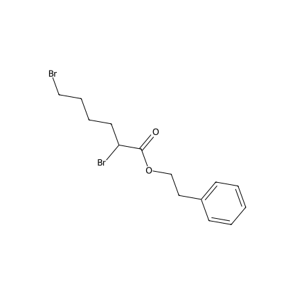 O=C(OCCc1ccccc1)C(Br)CCCCBr